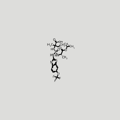 CCC(C)(NP(=O)(Nc1nc2ccc(OC(F)(F)F)cc2s1)N[C@@H](C)C(=O)OC(C)C)C(=O)O